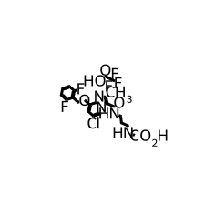 Cc1nc2c(OCc3c(F)cccc3F)cc(Cl)cn2c1C(=O)NCCCNC(=O)O.O=C(O)C(F)(F)F